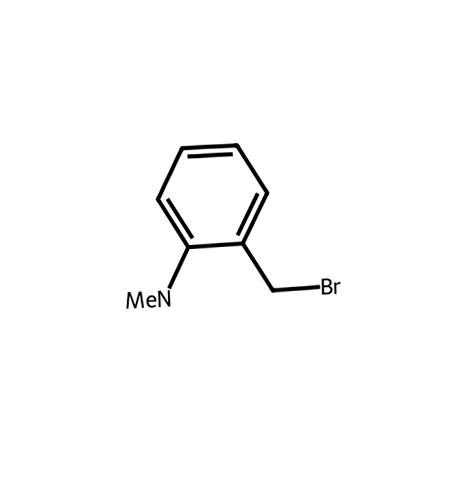 CNc1ccccc1CBr